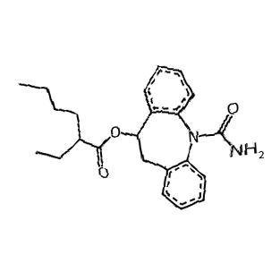 CCCCC(CC)C(=O)OC1Cc2ccccc2N(C(N)=O)c2ccccc21